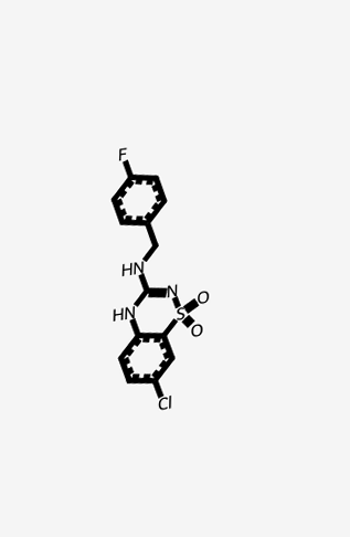 O=S1(=O)N=C(NCc2ccc(F)cc2)Nc2ccc(Cl)cc21